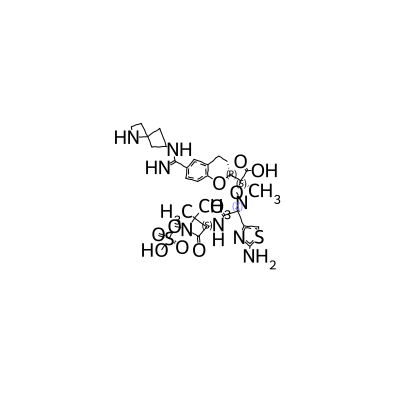 CC1(C)[C@H](NC(=O)/C(=N\O[C@](C)(C(=O)O)[C@H]2CCc3cc(C(=N)NC4CC5(CCN5)C4)ccc3O2)c2csc(N)n2)C(=O)N1OS(=O)(=O)O